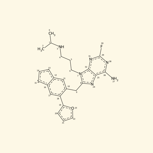 CC(C)NCCCn1c(Cc2cc3ccsc3cc2-c2ccco2)nc2c(N)nc(F)nc21